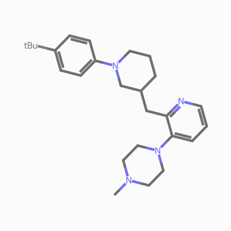 CN1CCN(c2cccnc2CC2CCCN(c3ccc(C(C)(C)C)cc3)C2)CC1